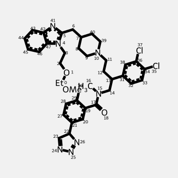 CCOCCn1c(CC2CCN(CCC(CN(C)C(=O)c3cc(C4C=NN=N4)ccc3OC)c3ccc(Cl)c(Cl)c3)CC2)nc2ccccc21